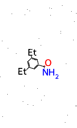 CCc1cc(CC)cc(C(N)=O)c1